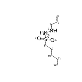 C=CCNNS(=O)(=O)CCCCC